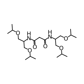 CC(C)OCC(COC(C)C)NC(=O)CC(=O)NC(COC(C)C)COC(C)C